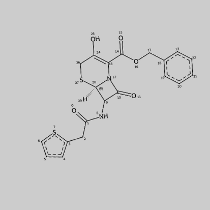 O=C(Cc1cccs1)NC1C(=O)N2C(C(=O)OCc3ccccc3)=C(O)CS[C@H]12